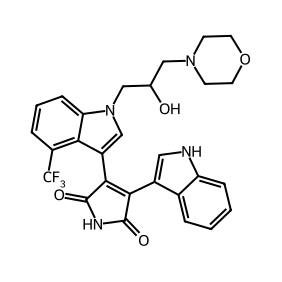 O=C1NC(=O)C(c2cn(CC(O)CN3CCOCC3)c3cccc(C(F)(F)F)c23)=C1c1c[nH]c2ccccc12